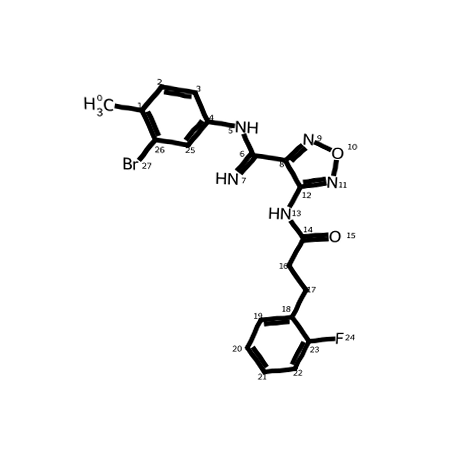 Cc1ccc(NC(=N)c2nonc2NC(=O)CCc2ccccc2F)cc1Br